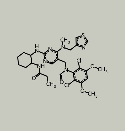 CCC(=O)NC1CCCCC1Nc1ncc(CN(C=O)c2c(Cl)c(OC)cc(OC)c2Cl)c(N(C)Cc2cscn2)n1